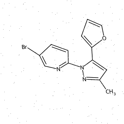 Cc1cc(-c2ccco2)n(-c2ccc(Br)cn2)n1